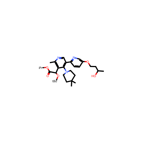 Cc1ncc(-c2ccc(OCCC(C)O)cn2)c(N2CCC(C)(C)CC2)c1C(OC(C)(C)C)C(=O)OC(C)C